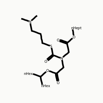 CCCCCCCOC(=O)CN(CC(=O)OC(CCCCCC)CCCCCC)C(=O)SCCCN(C)C